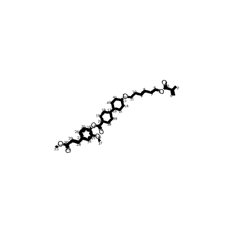 C=C(C)C(=O)OCCCCCCOC1CCC(C2CCC(C(=O)Oc3ccc(C=CC(=O)OC)cc3OC)CC2)CC1